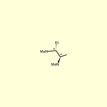 CC[C@@H](NC)[C@@H](C)NC